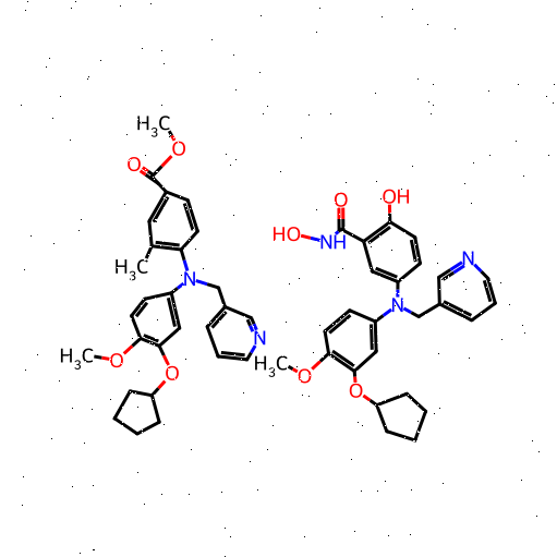 COC(=O)c1ccc(N(Cc2cccnc2)c2ccc(OC)c(OC3CCCC3)c2)c(C)c1.COc1ccc(N(Cc2cccnc2)c2ccc(O)c(C(=O)NO)c2)cc1OC1CCCC1